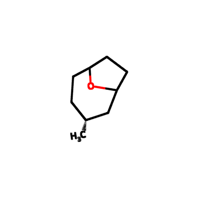 C[C@@H]1CCC2CCC(C1)O2